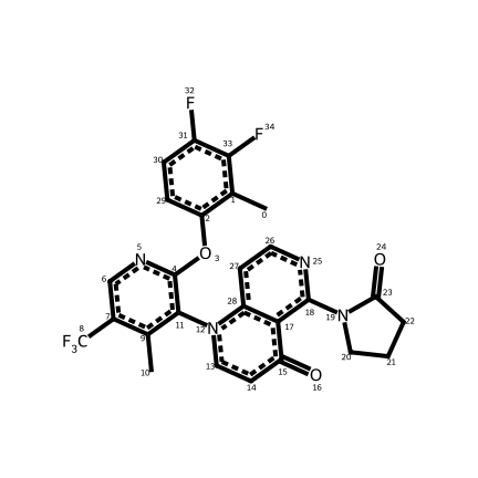 Cc1c(Oc2ncc(C(F)(F)F)c(C)c2-n2ccc(=O)c3c(N4CCCC4=O)nccc32)ccc(F)c1F